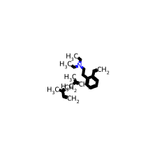 C=C(C)C.C=CC(=C)C.C=Cc1ccccc1CCN(CC)CC